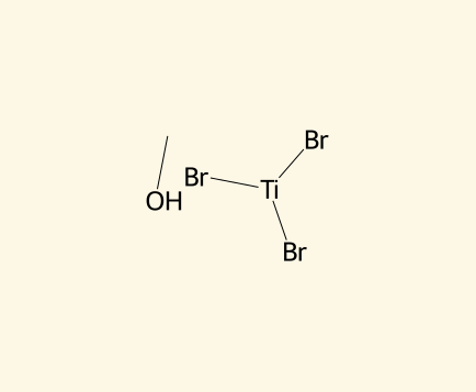 CO.[Br][Ti]([Br])[Br]